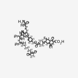 CCn1cc(C(=O)O)c(=O)c2cc(F)c(N3CCN(C(=O)OCc4ccc(NC[C@H](CCCNC(N)=O)n5cc([C@@H](NC[C@H](NCCCCCCN6C(=O)CCC6=O)C(C)C)C(C)C)nn5)cc4)CC3)cc21